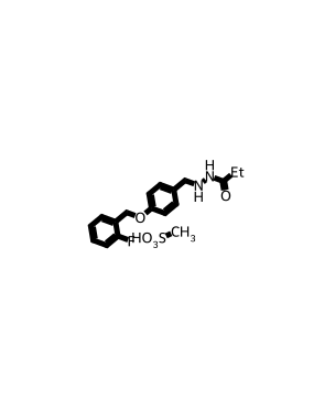 CCC(=O)NNCc1ccc(OCc2ccccc2F)cc1.CS(=O)(=O)O